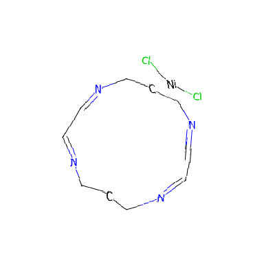 C1=NCCCN=CC=NCCCN=C1.[Cl][Ni][Cl]